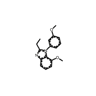 CCc1nc2cccc(OC)c2n1-c1cccc(OC)c1